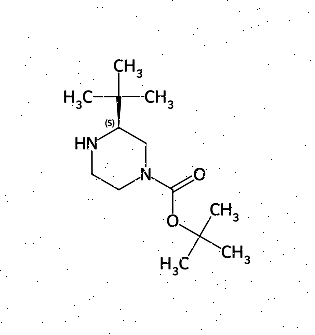 CC(C)(C)OC(=O)N1CCN[C@@H](C(C)(C)C)C1